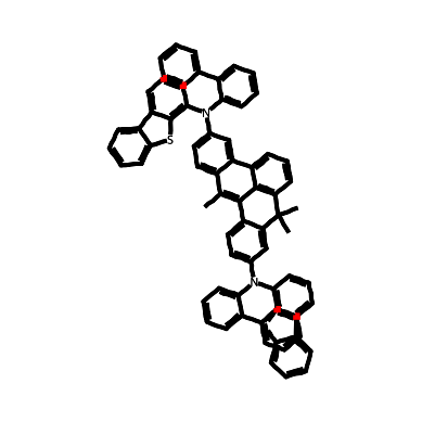 Cc1c2c3c(cccc3c3cc(N(c4ccccc4-c4ccccc4)c4cccc5c4sc4ccccc45)ccc13)C(C)(C)c1cc(N(c3ccccc3-c3ccccc3)c3cccc4c3sc3ccccc34)ccc1-2